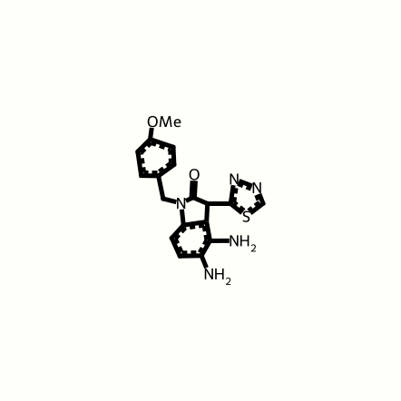 COc1ccc(CN2C(=O)C(c3nncs3)c3c2ccc(N)c3N)cc1